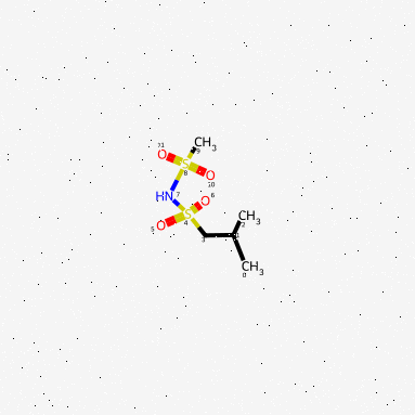 CC(C)CS(=O)(=O)NS(C)(=O)=O